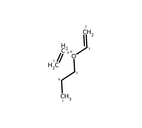 C=C.C=COCCC